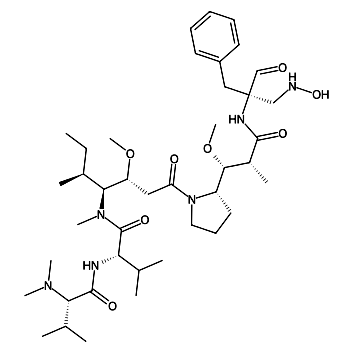 CC[C@H](C)[C@@H]([C@@H](CC(=O)N1CCC[C@H]1[C@H](OC)[C@@H](C)C(=O)N[C@@](C=O)(CNO)Cc1ccccc1)OC)N(C)C(=O)[C@@H](NC(=O)[C@H](C(C)C)N(C)C)C(C)C